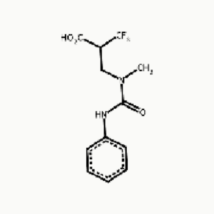 CN(CC(C(=O)O)C(F)(F)F)C(=O)Nc1ccccc1